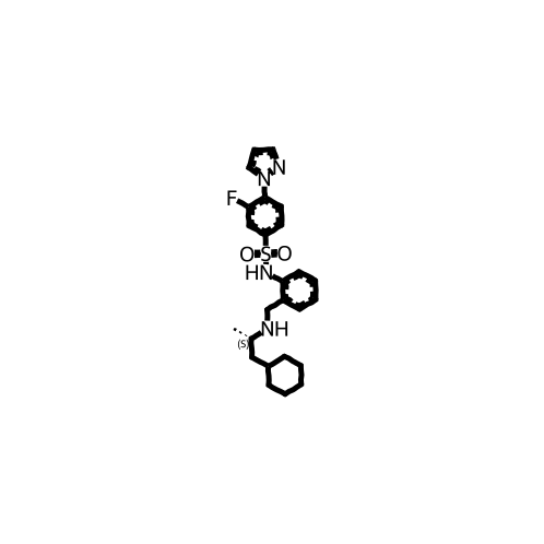 C[C@@H](CC1CCCCC1)NCc1ccccc1NS(=O)(=O)c1ccc(-n2cccn2)c(F)c1